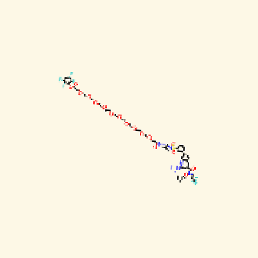 CCON(CCC(F)(F)F)C(=O)C1=Cc2ccc(-c3cccc(S(=O)(=O)N4CC(CNC(=O)CCOCCOCCOCCOCCOCCOCCOCCOCCOCCOCCC(=O)Oc5c(F)c(F)cc(F)c5F)C4)c3)cc2N=C(N)C1